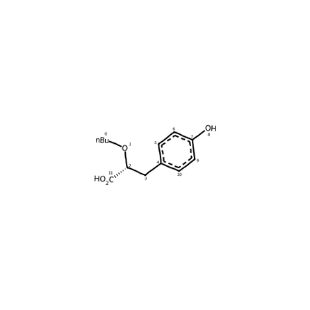 CCCCO[C@H](Cc1ccc(O)cc1)C(=O)O